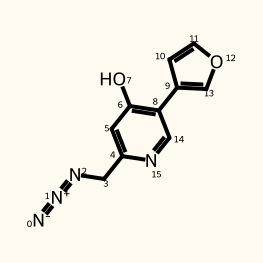 [N-]=[N+]=NCc1cc(O)c(-c2ccoc2)cn1